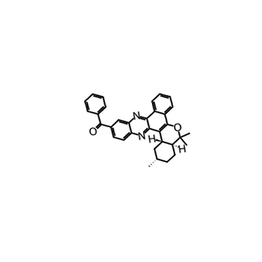 C[C@H]1CC[C@H]2[C@H](C1)c1c(c3ccccc3c3nc4cc(C(=O)c5ccccc5)ccc4nc13)OC2(C)C